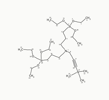 CCO[Si](CCCN(CC#C[Si](C)(C)C)CCC[Si](OCC)(OCC)OCC)(OCC)OCC